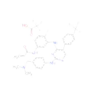 C=CC(=O)Nc1ccc(F)c(Nc2nc(Nc3ccc(CN(C)C)cc3)ncc2-c2ccc(C(F)(F)F)cc2)c1.O=C(O)C(F)(F)F